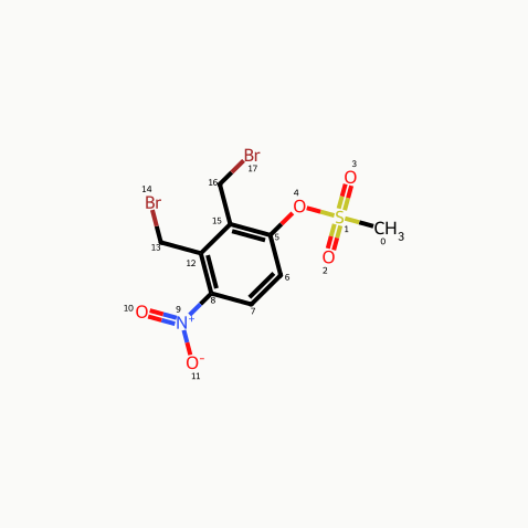 CS(=O)(=O)Oc1ccc([N+](=O)[O-])c(CBr)c1CBr